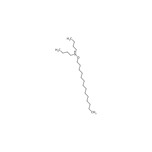 CCCCCCCCCCCCCCO[SiH](CCCC)CCCC